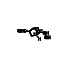 O=CC1C[C@H]2CC1C[C@H]2NO